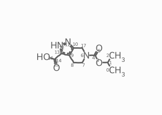 CC(C)OC(=O)N1CCc2c(n[nH]c2C(=O)O)C1